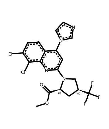 COC(=O)[C@@H]1C[C@H](C(F)(F)F)CN1c1cc(-n2ccnc2)c2ccc(Cl)c(Cl)c2n1